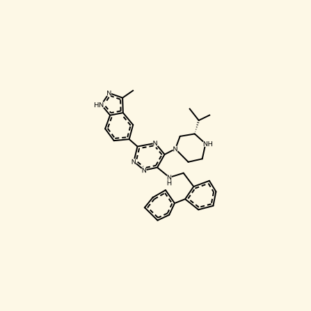 Cc1n[nH]c2ccc(-c3nnc(NCc4ccccc4-c4ccccc4)c(N4CCN[C@@H](C(C)C)C4)n3)cc12